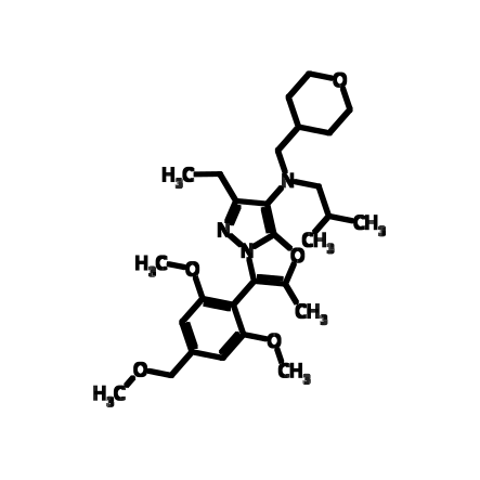 CCc1nn2c(-c3c(OC)cc(COC)cc3OC)c(C)oc2c1N(CC(C)C)CC1CCOCC1